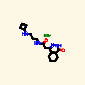 Br.O=C(Cc1n[nH]c(=O)c2c1CCCC2)NCCCNC1CCC1